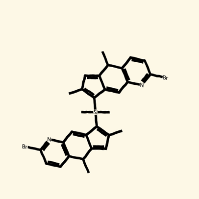 CC1=C([Si](C)(C)C2=C(C)C=C3C2=Cc2nc(Br)ccc2C3C)C2=Cc3nc(Br)ccc3C(C)C2=C1